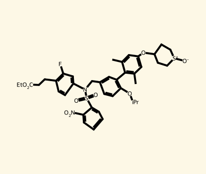 CCOC(=O)CCc1ccc(N(Cc2ccc(OC(C)C)c(-c3c(C)cc(OC4CC[S+]([O-])CC4)cc3C)c2)S(=O)(=O)c2ccccc2[N+](=O)[O-])cc1F